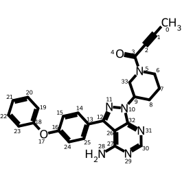 CC#CC(=O)N1CCCC(n2nc(-c3ccc(Oc4ccccc4)cc3)c3c(N)ncnc32)C1